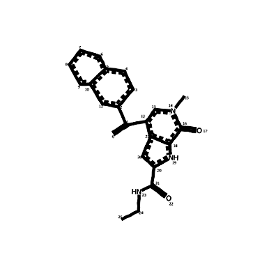 C=C(c1ccc2ccccc2c1)c1cn(C)c(=O)c2[nH]c(C(=O)NCC)cc12